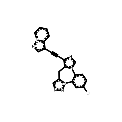 Clc1ccc2c(c1)-n1nncc1Cc1c(C#Cc3cnn4ccccc34)ncn1-2